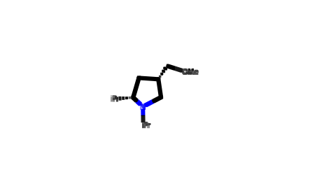 COC[C@H]1C[C@@H](C(C)C)N(C(C)C)C1